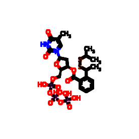 Cc1cn([C@H]2C[C@@H](OC(=O)c3ccccc3C(C)SSC(C)C)[C@@H](COP(=O)(O)OP(=O)(O)OP(=O)(O)O)O2)c(=O)[nH]c1=O